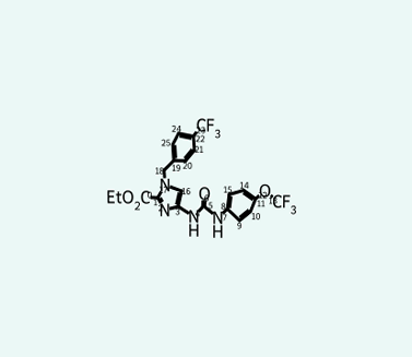 CCOC(=O)c1nc(NC(=O)Nc2ccc(OC(F)(F)F)cc2)cn1Cc1ccc(C(F)(F)F)cc1